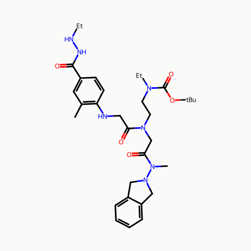 CCNNC(=O)c1ccc(NCC(=O)N(CCN(CC)C(=O)OC(C)(C)C)CC(=O)N(C)N2Cc3ccccc3C2)c(C)c1